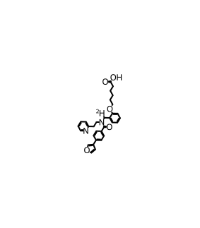 [2H]C(c1ccccc1OCCCCCC(=O)O)N(CCc1ccccn1)C(=O)c1ccc(-c2ccoc2)cc1